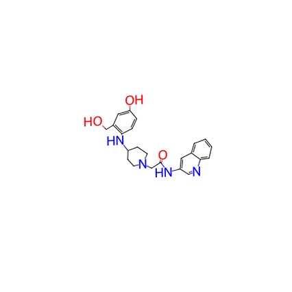 O=C(CN1CCC(Nc2ccc(O)cc2CO)CC1)Nc1cnc2ccccc2c1